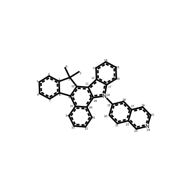 CC1(C)c2ccccc2-c2c1c1c3ccccc3n(-c3ccc4cnccc4c3)c1c1ccccc21